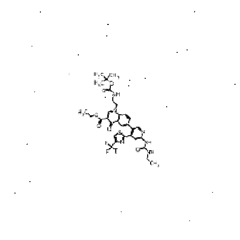 CCNC(=O)Nc1cc(-c2nc(C(F)(F)F)cs2)c(-c2ccc3c(c2)c(=O)c(C(=O)OCC)cn3CCNC(=O)OC(C)(C)C)cn1